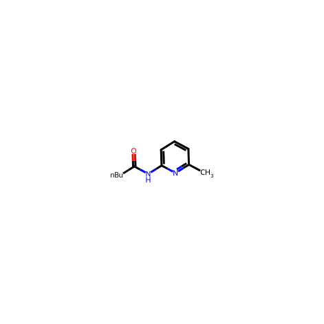 CCCCC(=O)Nc1cccc(C)n1